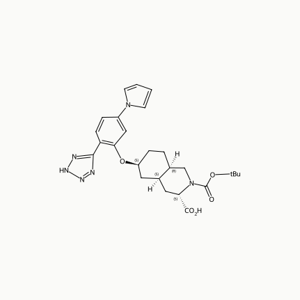 CC(C)(C)OC(=O)N1C[C@@H]2CC[C@H](Oc3cc(-n4cccc4)ccc3-c3nn[nH]n3)C[C@@H]2C[C@H]1C(=O)O